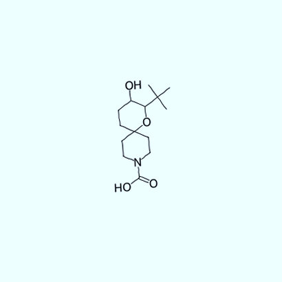 CC(C)(C)C1OC2(CCC1O)CCN(C(=O)O)CC2